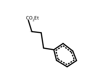 CCOC(=O)[CH]CCc1ccccc1